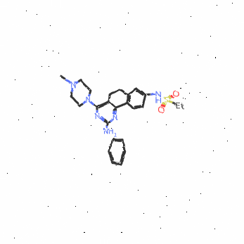 CCS(=O)(=O)Nc1ccc2c(c1)CCc1c-2nc(N)nc1N1CCN(C)CC1.c1ccccc1